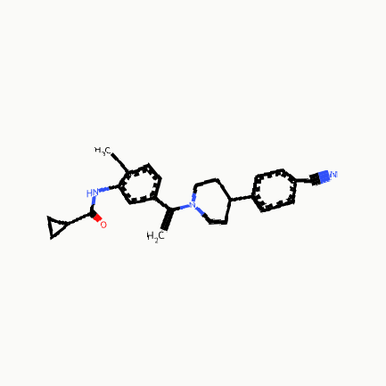 C=C(c1ccc(C)c(NC(=O)C2CC2)c1)N1CCC(c2ccc(C#N)cc2)CC1